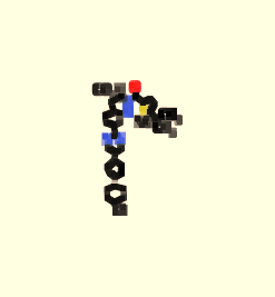 CC[C@H]1CC[C@H](c2ccc(-c3cnc(-c4ccc(C[C@H](NC(=O)c5ccc(C(C)(C)C#N)s5)C(=O)O)cc4)nc3)cc2)CC1